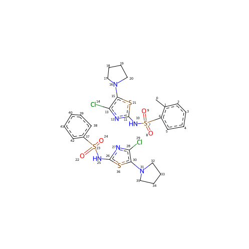 Cc1ccccc1S(=O)(=O)Nc1nc(Cl)c(N2CCCC2)s1.O=S(=O)(Nc1nc(Cl)c(N2CCCC2)s1)c1ccccc1